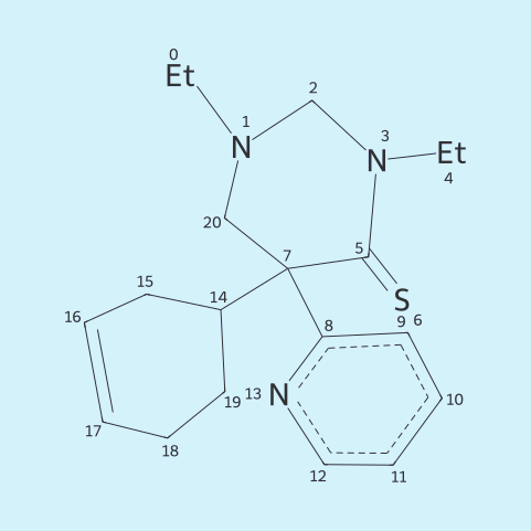 CCN1CN(CC)C(=S)C(c2ccccn2)(C2CC=CCC2)C1